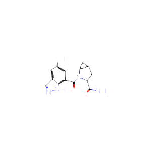 Cc1cc(C(=O)N2C(C(N)=O)CC3CC32)c2[nH]ncc2c1